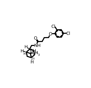 CC1(C)[C@H]2CC[C@@H](CNC(=O)CCCOc3ccc(Cl)cc3Cl)[C@H]1C2